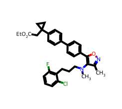 CCOC(=O)CC1(c2ccc(-c3ccc(-c4onc(C)c4N(C)CCCc4c(F)cccc4Cl)cc3)cc2)CC1